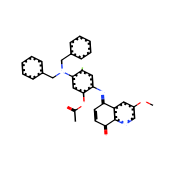 COc1cnc2c(c1)C(=Nc1cc(F)c(N(Cc3ccccc3)Cc3ccccc3)cc1OC(C)=O)C=CC2=O